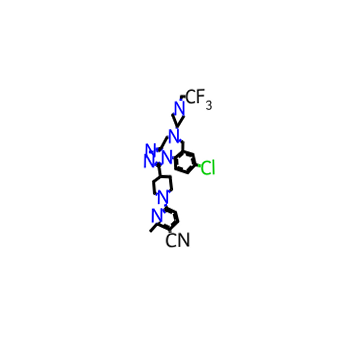 Cc1nc(N2CCC(c3nnc4n3-c3ccc(Cl)cc3CN(C3CN(CC(F)(F)F)C3)C4)CC2)ccc1C#N